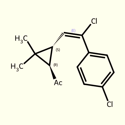 CC(=O)[C@@H]1[C@@H](/C=C(/Cl)c2ccc(Cl)cc2)C1(C)C